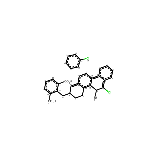 CCC1C(Cl)=c2ccccc2=c2ccc3c(c21)CCC(Cc1c(C(=O)O)cccc1C(=O)O)C=3.Clc1ccccc1